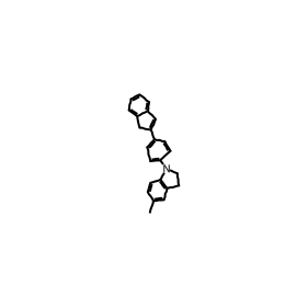 Cc1ccc2c(c1)CCN2c1ccc(C2=Cc3ccccc3C2)cc1